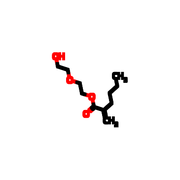 C=C(CCCC)C(=O)OCCOCCO